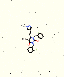 Cn1cc(/C=C/c2c([N+](=O)[O-])c(=O)n(Cc3ccccc3F)c(=O)n2Cc2ccccc2F)cn1